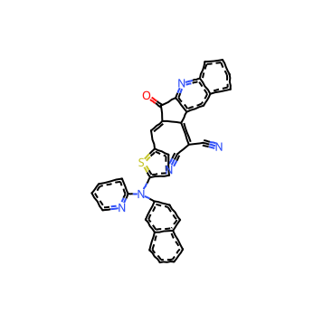 N#CC(C#N)=C1/C(=C\c2ccc(N(c3ccc4ccccc4c3)c3ccccn3)s2)C(=O)c2nc3ccccc3cc21